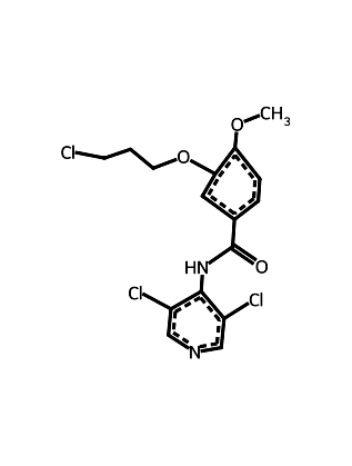 COc1ccc(C(=O)Nc2c(Cl)cncc2Cl)cc1OCCCCl